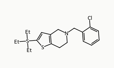 CCS(CC)(CC)c1cc2c(s1)CCN(Cc1ccccc1Cl)C2